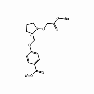 COC(=O)c1ccc(OC[C@H]2CCCN2OCC(=O)OC(C)(C)C)cc1